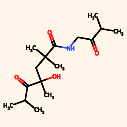 CC(C)C(=O)CNC(=O)C(C)(C)CC(C)(O)C(=O)C(C)C